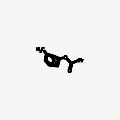 Cc1cc2cc(OC(=O)C(C)C)c1o2